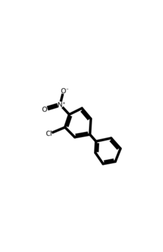 O=[N+]([O-])c1ccc(-c2ccccc2)cc1Cl